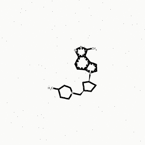 Cc1noc2ccc3c(ccn3[C@H]3CC[C@@H](CN4CCC(C)CC4)C3)c12